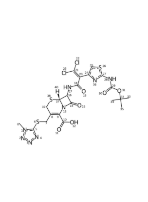 Cn1nnnc1SCC1=C(C(=O)O)N2C(=O)C(NC(=O)C(=C(Cl)Cl)c3csc(NC(=O)OC(C)(C)C)n3)[C@H]2SC1